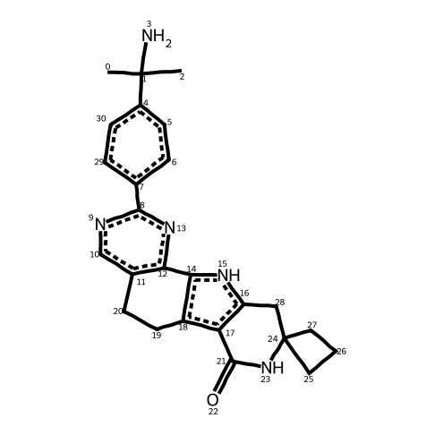 CC(C)(N)c1ccc(-c2ncc3c(n2)-c2[nH]c4c(c2CC3)C(=O)NC2(CCC2)C4)cc1